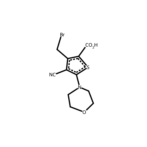 N#Cc1c(N2CCOCC2)sc(C(=O)O)c1CBr